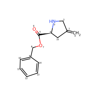 C=C1CN[C@H](C(=O)OCc2ccccc2)C1